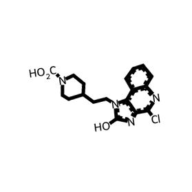 O=C(O)N1CCC(CCn2c(O)nc3c(Cl)nc4ccccc4c32)CC1